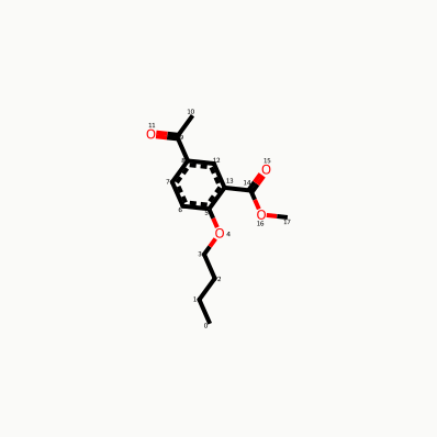 CCCCOc1ccc(C(C)=O)cc1C(=O)OC